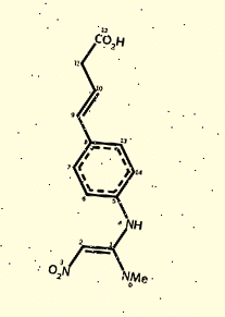 CNC(=C[N+](=O)[O-])Nc1ccc(C=CCC(=O)O)cc1